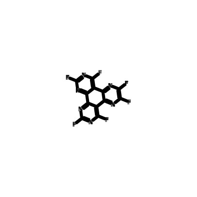 Fc1nc(F)c2c(n1)c1nc(F)nc(F)c1c1nc(F)c(F)nc12